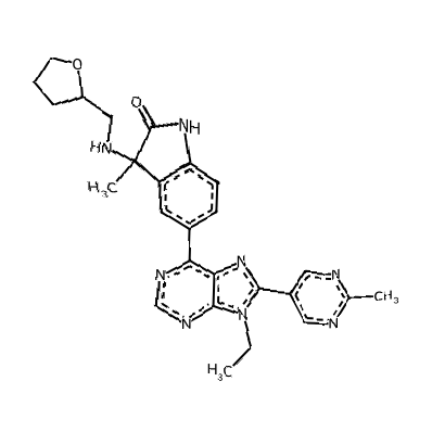 CCn1c(-c2cnc(C)nc2)nc2c(-c3ccc4c(c3)C(C)(NCC3CCCO3)C(=O)N4)ncnc21